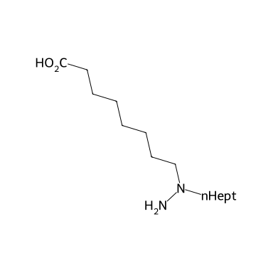 CCCCCCCN(N)CCCCCCCC(=O)O